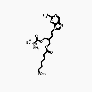 CCCCCCCCCCCCCCCC(=O)OCC(CCn1cnc2cnc(N)nc21)COC(=O)[C@@H](N)[C@@H](C)CC